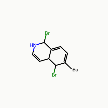 CCC(C)C1=CC=C2C(Br)NC=CC2C1Br